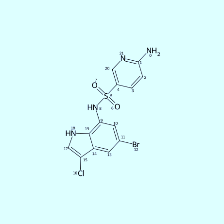 Nc1ccc(S(=O)(=O)Nc2cc(Br)cc3c(Cl)c[nH]c23)cn1